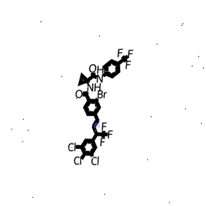 O=C(NC1(C(=O)Nc2ccc(C(F)(F)F)cc2)CC1)c1ccc(/C=C/C(c2cc(Cl)c(Cl)c(Cl)c2)C(F)(F)F)cc1Br